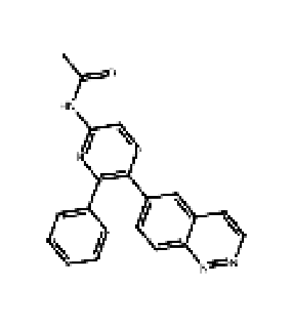 CC(=O)Nc1cnc(-c2ccc3nnccc3c2)c(-c2ccccc2)n1